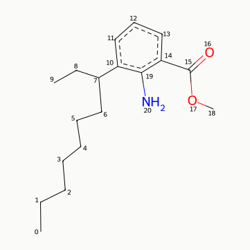 CCCCCCCC(CC)c1cccc(C(=O)OC)c1N